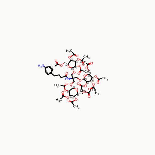 CC(=O)OC[C@H]1O[C@@H](OCC(CO[C@@H]2O[C@H](COC(C)=O)[C@H](OC(C)=O)[C@H](OC(C)=O)[C@H]2OC(C)=O)(CO[C@@H]2O[C@H](COC(C)=O)[C@H](OC(C)=O)[C@H](OC(C)=O)[C@H]2OC(C)=O)NC(=O)CCCc2ccc(N)cc2)[C@H](OC(C)=O)[C@@H](OC(C)=O)[C@H]1OC(C)=O